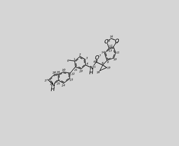 Cc1ccc(NC(=O)C2(c3ccc4c(c3)OCO4)CC2)cc1-c1ccc2[nH]ccc2c1